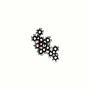 CC1(c2ccccc2)c2ccccc2-c2c(-c3ccc(N(c4ccccc4-c4ccc5c6ccccc6n(-c6ccccc6)c5c4)c4ccccc4-c4cccc5cccc(C6CCCCC6)c45)cc3)cccc21